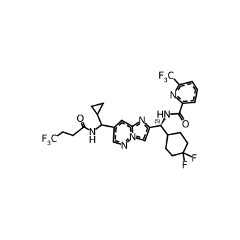 O=C(CCC(F)(F)F)NC(c1cnn2cc([C@@H](NC(=O)c3cccc(C(F)(F)F)n3)C3CCC(F)(F)CC3)nc2c1)C1CC1